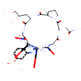 CCOc1ccc2c3c([nH]c2c1)[S+]([O-])C[C@@H]1NC(=O)CNC(=O)[C@H]([C@@H](C)CC)NC(=O)CNC(=O)[C@H](C3)NC(=O)[C@H]([C@@H](C)[C@@H](O)CO)NC(=O)[C@@H]2CCCN2C(=O)[C@H](CC(N)=O)NC1=O